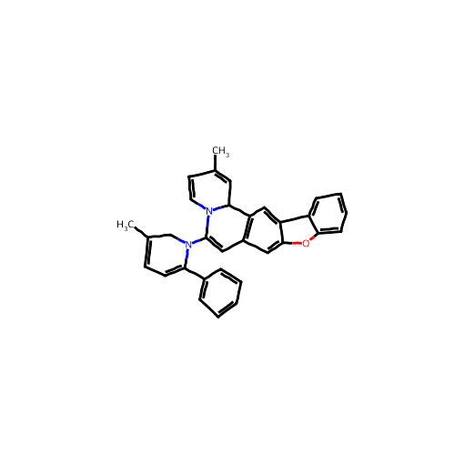 CC1=CC2c3cc4c(cc3C=C(N3CC(C)=CC=C3c3ccccc3)N2C=C1)oc1ccccc14